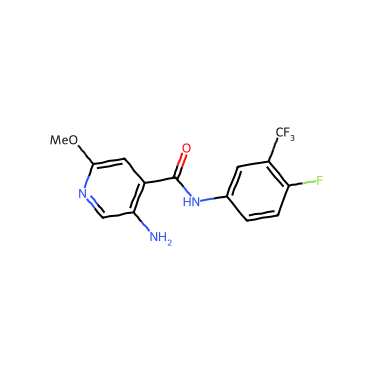 COc1cc(C(=O)Nc2ccc(F)c(C(F)(F)F)c2)c(N)cn1